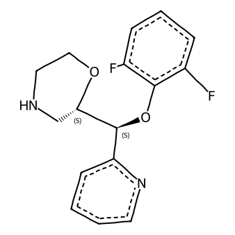 Fc1cccc(F)c1O[C@@H](c1ccccn1)[C@@H]1CNCCO1